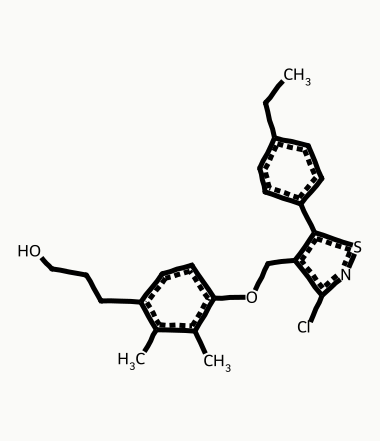 CCc1ccc(-c2snc(Cl)c2COc2ccc(CCCO)c(C)c2C)cc1